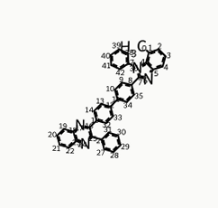 Cc1cccc2nc(-c3ccc(-c4ccc(-c5nc6ccccc6nc5-c5ccccc5)cc4)cc3)n(-c3ccccc3)c12